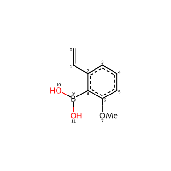 C=Cc1cccc(OC)c1B(O)O